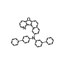 c1ccc(-c2ccc(N(c3cccc(-c4ccccc4)c3)c3ccc4ccc5oc6cccnc6c5c4c3)cc2)cc1